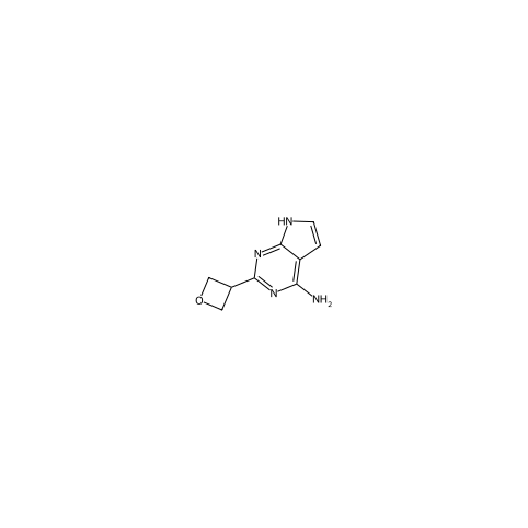 Nc1nc(C2COC2)nc2[nH]ccc12